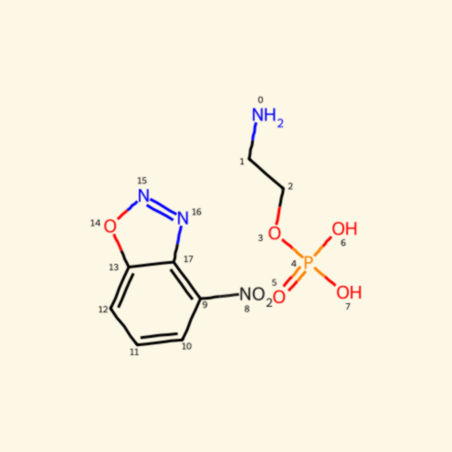 NCCOP(=O)(O)O.O=[N+]([O-])c1cccc2onnc12